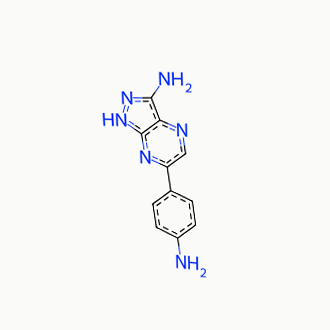 Nc1ccc(-c2cnc3c(N)n[nH]c3n2)cc1